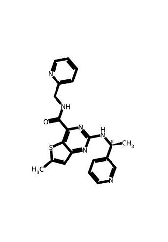 Cc1cc2nc(N[C@@H](C)c3cccnc3)nc(C(=O)NCc3ccccn3)c2s1